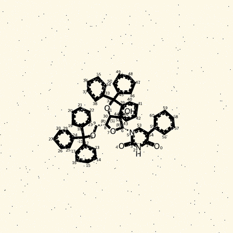 O=c1[nH]c(=O)n([C@@H]2O[C@H](COC(c3ccccc3)(c3ccccc3)c3ccccc3)[C@@H](OC(c3ccccc3)(c3ccccc3)c3ccccc3)[C@H]2O)cc1-c1ccccc1